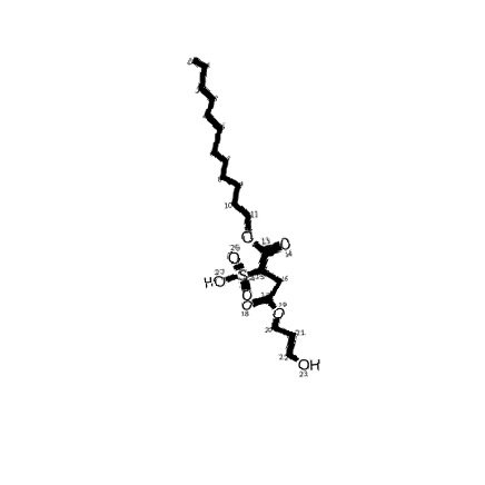 CCCCCCCCCCCCOC(=O)C(CC(=O)OCCCO)S(=O)(=O)O